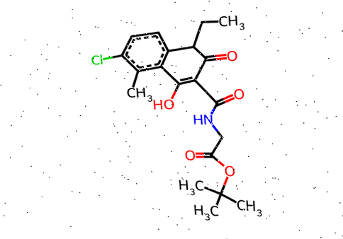 CCC1C(=O)C(C(=O)NCC(=O)OC(C)(C)C)=C(O)c2c1ccc(Cl)c2C